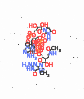 CO[C@@H]1[C@H](P(=O)([O-])OC[C@H]2O[C@@H](n3ccc(=O)[nH]c3=O)[C@H](O)[C@@H]2O)[C@@H](COP(=O)(O)OP(=O)(O)OP(=O)(O)OC[C@H]2O[C@@H](n3c[n+](C)c4c(=O)[nH]c(N)nc43)[C@H](O)[C@@H]2CCNC(C)=O)O[C@H]1n1cnc2c(N)ncnc21